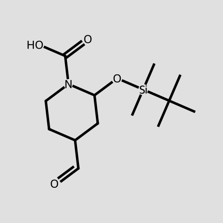 CC(C)(C)[Si](C)(C)OC1CC(C=O)CCN1C(=O)O